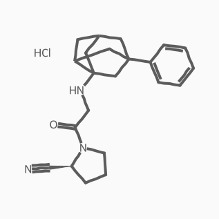 Cl.N#C[C@@H]1CCCN1C(=O)CNC12CC3CC1CC(c1ccccc1)(C3)C2